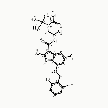 Cc1cc(OCc2c(F)cccc2F)c2nc(C)c(C(=O)NC(C)CN(C(=O)O)C(C)(C)C)n2c1